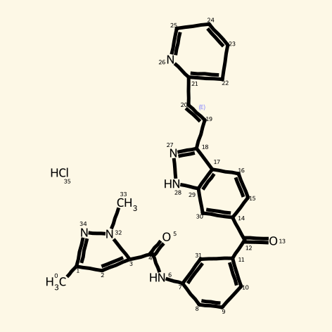 Cc1cc(C(=O)Nc2cccc(C(=O)c3ccc4c(/C=C/c5ccccn5)n[nH]c4c3)c2)n(C)n1.Cl